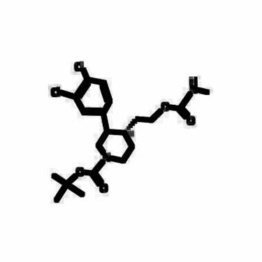 CNC(=O)OCC[C@@H]1CCN(C(=O)OC(C)(C)C)CC1c1ccc(Cl)c(Cl)c1